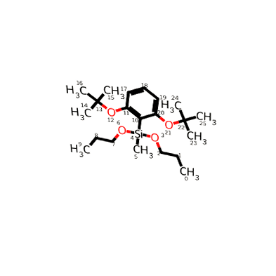 CCCO[Si](C)(OCCC)c1c(OC(C)(C)C)cccc1OC(C)(C)C